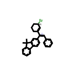 CC1(C)c2ccccc2-c2ccc(/C(=C\c3ccccc3)C3=C[C@H](Br)CCC3)cc21